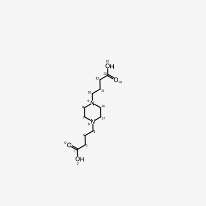 O=C(O)CCCN1CCN(CCCC(=O)O)CC1